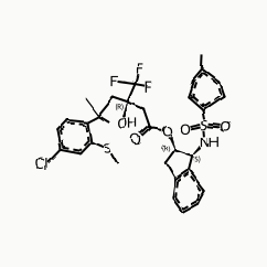 CSc1cc(Cl)ccc1C(C)(C)C[C@@](O)(CC(=O)O[C@@H]1Cc2ccccc2[C@@H]1NS(=O)(=O)c1ccc(C)cc1)C(F)(F)F